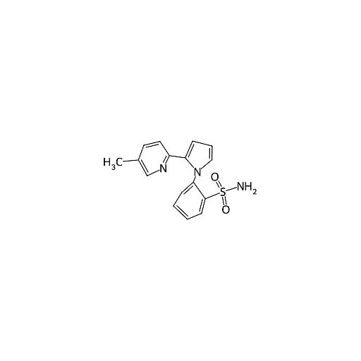 Cc1ccc(-c2cccn2-c2ccccc2S(N)(=O)=O)nc1